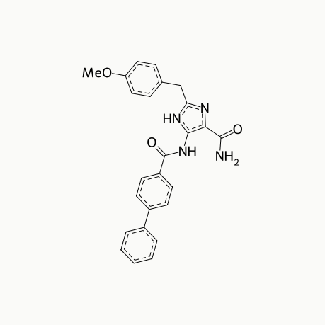 COc1ccc(Cc2nc(C(N)=O)c(NC(=O)c3ccc(-c4ccccc4)cc3)[nH]2)cc1